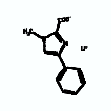 Cn1cc(-c2ccccc2)nc1C(=O)[O-].[Li+]